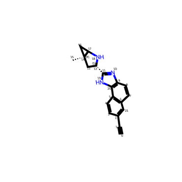 C#Cc1ccc2c(ccc3nc([C@@H]4C[C@@]5(C)CC5N4)[nH]c32)c1